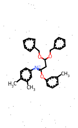 Cc1cccc(O/C(CC(OCc2ccccc2)OCc2ccccc2)=N\c2ccc(C)c(C)c2)c1